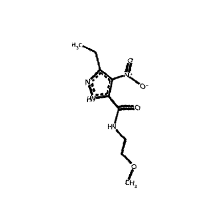 CCc1n[nH]c(C(=O)NCCOC)c1[N+](=O)[O-]